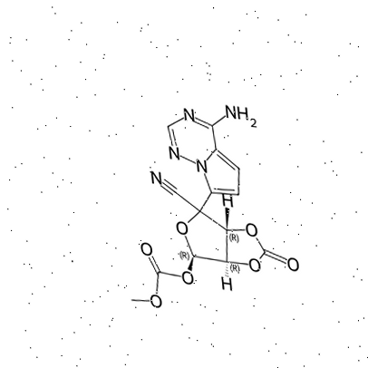 COC(=O)O[C@H]1OC(C#N)(c2ccc3c(N)ncnn23)[C@@H]2OC(=O)O[C@@H]12